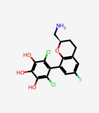 NC[C@H]1CCc2cc(F)cc(-c3c(Cl)c(O)c(O)c(O)c3Cl)c2O1